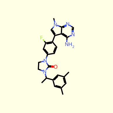 Cc1cc(C)cc(C(C)N2CCN(c3ccc(-c4cn(C)c5ncnc(N)c45)c(F)c3)C2=O)c1